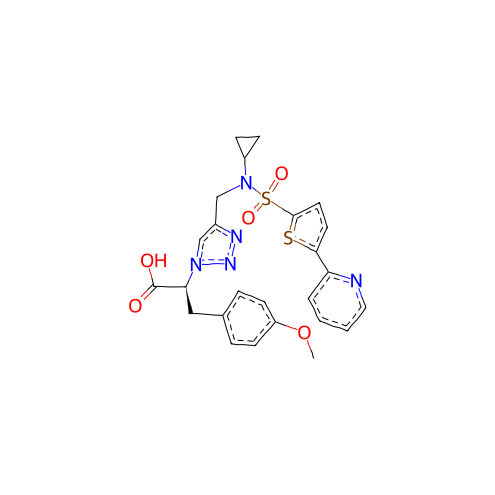 COc1ccc(C[C@@H](C(=O)O)n2cc(CN(C3CC3)S(=O)(=O)c3ccc(-c4ccccn4)s3)nn2)cc1